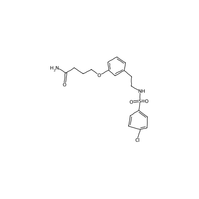 NC(=O)CCCOc1cccc(CCNS(=O)(=O)c2ccc(Cl)cc2)c1